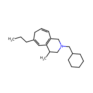 CCCC1=CC2=C(C=CC1)CN(CC1CCCCC1)CC2C